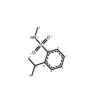 CNS(=O)(=O)c1ccccc1C(C)C